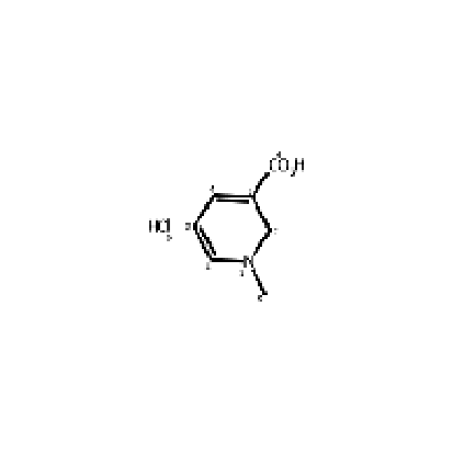 CN1C=CC=C(C(=O)O)C1.Cl